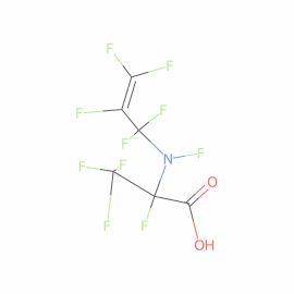 O=C(O)C(F)(N(F)C(F)(F)C(F)=C(F)F)C(F)(F)F